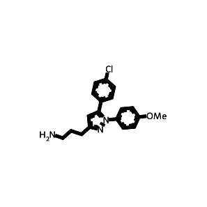 COc1ccc(-n2nc(CCCN)cc2-c2ccc(Cl)cc2)cc1